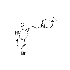 O=C1Nc2ncc(Br)cc2CN1CCN1CCC2(CC1)CC2